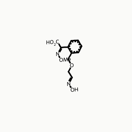 CO/N=C(/C(=O)O)c1ccccc1COC/C=N/O